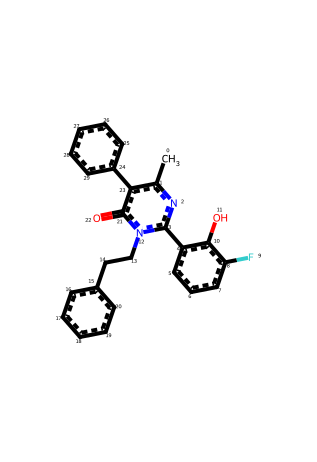 Cc1nc(-c2cccc(F)c2O)n(CCc2ccccc2)c(=O)c1-c1ccccc1